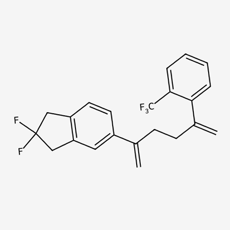 C=C(CCC(=C)c1ccccc1C(F)(F)F)c1ccc2c(c1)CC(F)(F)C2